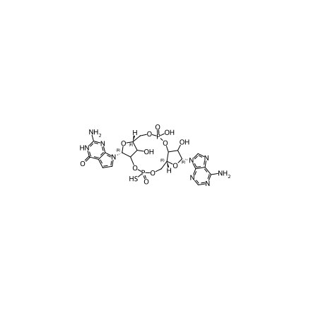 Nc1nc2c(ccn2[C@@H]2O[C@@H]3COP(=O)(O)OC4C(O)[C@H](n5cnc6c(N)ncnc65)O[C@@H]4COP(=O)(S)OC2C3O)c(=O)[nH]1